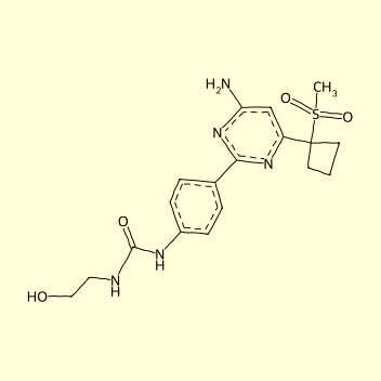 CS(=O)(=O)C1(c2cc(N)nc(-c3ccc(NC(=O)NCCO)cc3)n2)CCC1